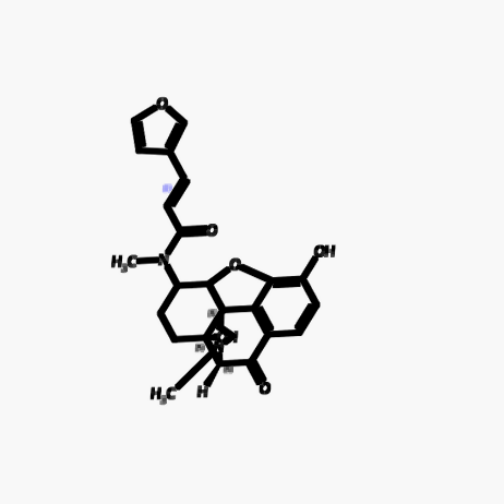 CN(C(=O)/C=C/c1ccoc1)C1CC[C@@]2(O)[C@H]3C(=O)c4ccc(O)c5c4[C@@]2(CCN3C)C1O5